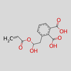 C=CC(=O)OC(O)Cc1cccc(C(=O)O)c1C(=O)O